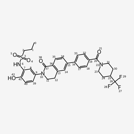 CCCS(=O)(=O)Nc1cc(N2CCc3cc(-c4ccc(C(=O)N5CCC(C(F)(F)F)CC5)cc4)ccc3C2=O)ccc1O